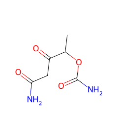 CC(OC(N)=O)C(=O)CC(N)=O